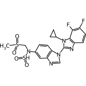 CS(=O)(=O)CN(c1ccc2c(c1)ncn2-c1nc2ccc(F)c(F)c2n1C1CC1)[SH](=O)=O